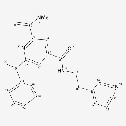 C=C(NC)c1cc(C(=O)NCCc2cccnc2)cc(C(C)c2ccccc2)n1